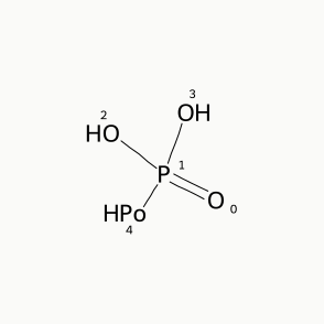 O=[P](O)(O)[PoH]